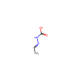 C/C=N/NC(=O)O